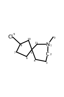 CN1CCCC2(CCC(Cl)C2)C1